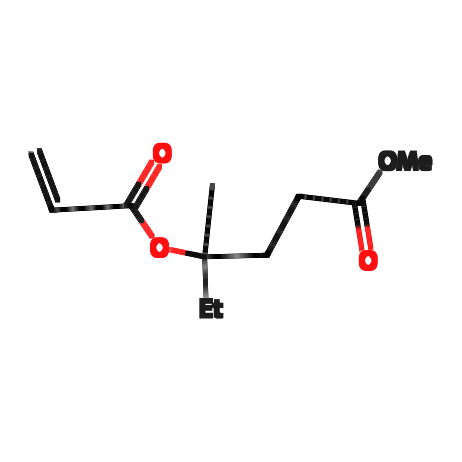 C=CC(=O)OC(C)(CC)CCC(=O)OC